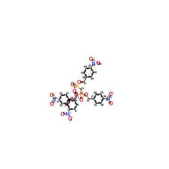 O=[N+]([O-])c1ccc(COP(=O)(CP(=O)(OCc2ccc([N+](=O)[O-])cc2)OCc2ccc([N+](=O)[O-])cc2)OCc2ccc([N+](=O)[O-])cc2)cc1